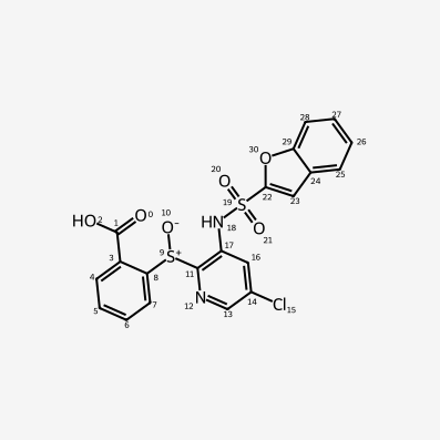 O=C(O)c1ccccc1[S+]([O-])c1ncc(Cl)cc1NS(=O)(=O)c1cc2ccccc2o1